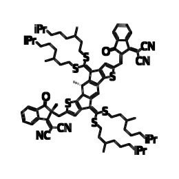 CC(C)CCCC(C)CCSC(SCCC(C)CCCC(C)C)=C1C2=C(C=C3C(=C(SCCC(C)CCCC(C)C)SCCC(C)CCCC(C)C)c4cc(C[C@@]5(C)C(=O)c6ccccc6C5=C(C#N)C#N)sc4C3[C@@H]2C)c2sc(/C=C3\C(=O)c4ccccc4C3=C(C#N)C#N)cc21